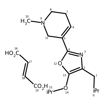 CC(C)Cc1nc(C2=CCCN(C)C2)oc1OC(C)C.O=C(O)C=CC(=O)O